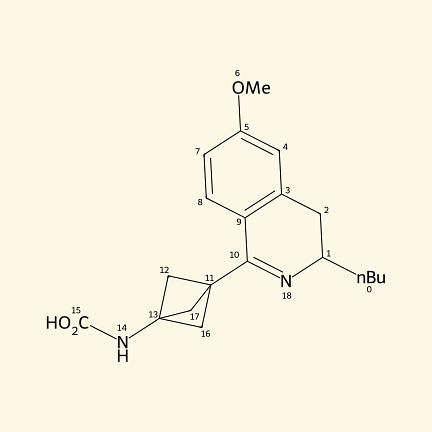 CCCCC1Cc2cc(OC)ccc2C(C23CC(NC(=O)O)(C2)C3)=N1